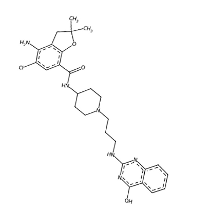 CC1(C)Cc2c(N)c(Cl)cc(C(=O)NC3CCN(CCCNc4nc(O)c5ccccc5n4)CC3)c2O1